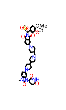 CCOc1cc([C@@H](CS(C)(=O)=O)N2C(=O)c3ccc(N4CCC(CN5CCC(C6CCN(c7ccc8c(c7)n(C7CCC(=O)NC7=O)c(=O)n8C)CC6)CC5)CC4)cc3C2=O)ccc1OC